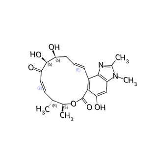 Cc1nc2c3c(c(O)cc2n1C)C(=O)O[C@@H](C)[C@H](C)/C=C\C(=O)[C@@H](O)[C@@H](O)C/C=C/3